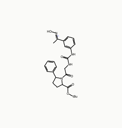 C/C(=N\O)c1cccc(NC(=O)NCC(=O)N2C(C(=O)OC(C)(C)C)CCC2c2ccccc2)c1